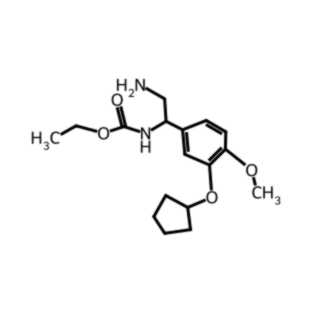 CCOC(=O)NC(CN)c1ccc(OC)c(OC2CCCC2)c1